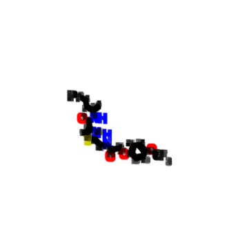 CC(C)CCC(C)NC(=O)c1csc(CNC(=O)COc2ccc(OC(F)(F)F)cc2)n1